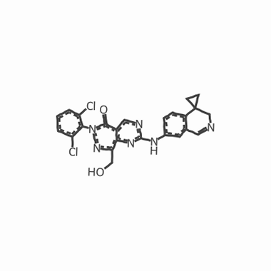 O=c1c2cnc(Nc3ccc4c(c3)C=NCC43CC3)nc2c(CO)nn1-c1c(Cl)cccc1Cl